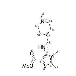 COC(=O)c1sc(C)c(C)c1NCC1CCN(C)CC1